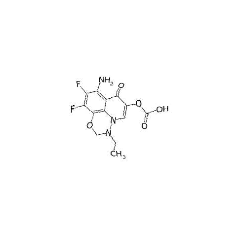 CCN1COc2c(F)c(F)c(N)c3c(=O)c(OC(=O)O)cn1c23